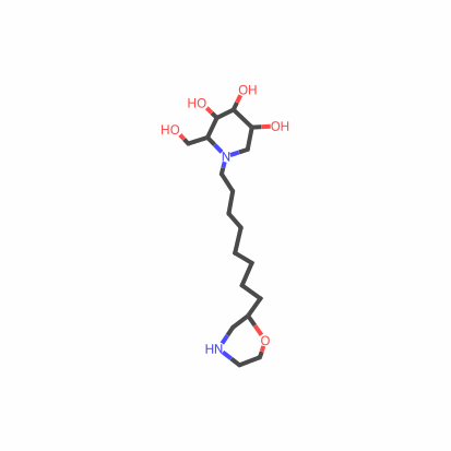 OCC1C(O)C(O)C(O)CN1CCCCCCCCC1CNCCO1